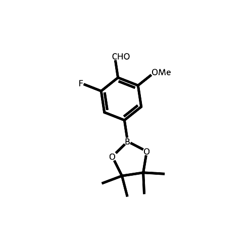 COc1cc(B2OC(C)(C)C(C)(C)O2)cc(F)c1C=O